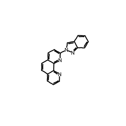 c1ccc2nn(-c3ccc4ccc5cccnc5c4n3)cc2c1